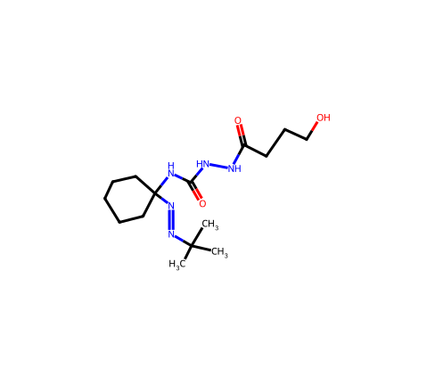 CC(C)(C)N=NC1(NC(=O)NNC(=O)CCCO)CCCCC1